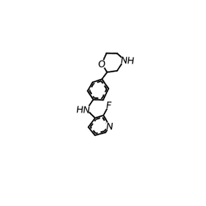 Fc1ncccc1Nc1ccc(C2CNCCO2)cc1